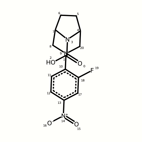 O=C(O)N1C2CCC1CN(c1ccc([N+](=O)[O-])cc1F)C2